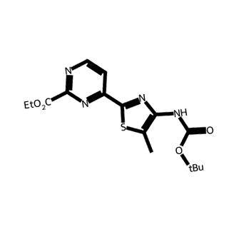 CCOC(=O)c1nccc(-c2nc(NC(=O)OC(C)(C)C)c(C)s2)n1